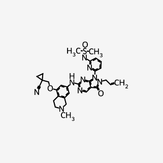 C=CCn1c(=O)c2cnc(Nc3cc4c(c(OCC5(C#N)CC5)c3)CCN(C)C4)nc2n1-c1cccc(N=S(C)(C)=O)n1